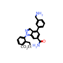 CCOC(=O)Cc1ccccc1-n1ncc2c(-c3cccc(CN)c3)cc(C(N)=O)cc21